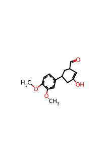 COc1ccc(C2CC(O)=CC(C=O)C2)cc1OC